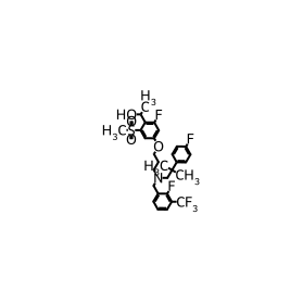 CC(O)c1c(F)cc(OCCCN(Cc2cccc(C(F)(F)F)c2F)CC(C)(C)c2ccc(F)cc2)cc1S(C)(=O)=O